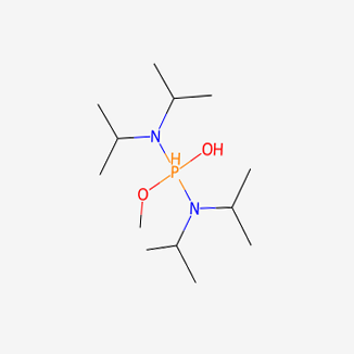 CO[PH](O)(N(C(C)C)C(C)C)N(C(C)C)C(C)C